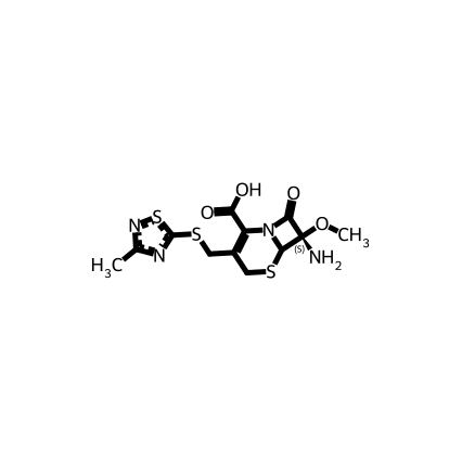 CO[C@@]1(N)C(=O)N2C(C(=O)O)=C(CSc3nc(C)ns3)CSC21